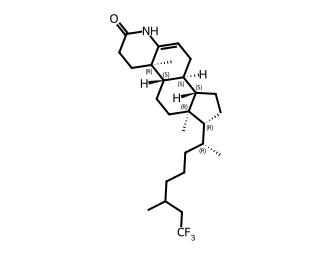 CC(CCC[C@@H](C)[C@H]1CC[C@H]2[C@@H]3CC=C4NC(=O)CC[C@]4(C)[C@H]3CC[C@]12C)CC(F)(F)F